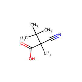 CC(C)(C)C(C)(C#N)C(=O)O